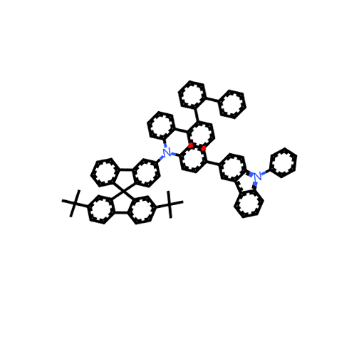 CC(C)(C)c1ccc2c(c1)C1(c3ccccc3-c3cc(N(c4ccc(-c5ccc6c(c5)c5ccccc5n6-c5ccccc5)cc4)c4ccccc4-c4ccccc4-c4ccccc4-c4ccccc4)ccc31)c1cc(C(C)(C)C)ccc1-2